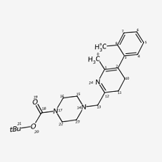 CC1=C(c2ccccc2C)CCC(CN2CCN(C(=O)OC(C)(C)C)CC2)=N1